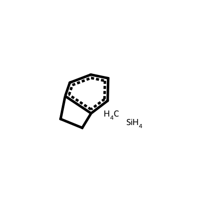 C.[SiH4].c1ccc2c(c1)CC2